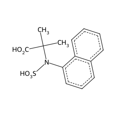 CC(C)(C(=O)O)N(c1cccc2ccccc12)S(=O)(=O)O